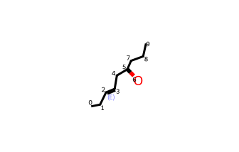 CC/C=C/CC(=O)CCC